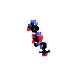 Cc1noc(C)c1-c1cccc(N2CCOC(C)(C(O)C(=O)Nc3ccc4c(N)noc4c3)C2=O)n1